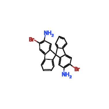 Nc1cc2c(cc1Br)-c1ccccc1C21c2ccccc2-c2cc(Br)c(N)cc21